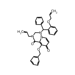 C=CCOc1ccccc1C(c1ccccc1)N1CN(CC=C)C(=O)c2c(OCc3ccccc3)c(=O)ccn21